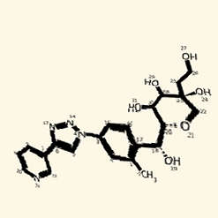 Cc1cc(-n2cc(-c3cccnc3)nn2)ccc1[C@@H](O)[C@H]1OC[C@@](O)(CCO)C(O)C1O